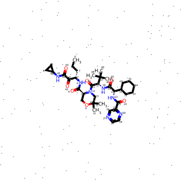 CCC[C@H](NC(=O)[C@@H]1COC(C)(C)CN1C(=O)[C@@H](NC(=O)[C@@H](NC(=O)c1cnccn1)C1CCCCC1)C(C)(C)C)C(=O)C(=O)NC1CC1